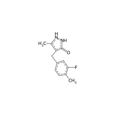 Cc1ccc(Cc2c(C)[nH][nH]c2=O)cc1F